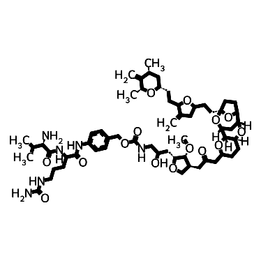 C=C1CC(CC[C@]23CCC(O2)[C@H]2C[C@@H](O3)[C@H]3OC(CC(=O)C[C@H]4CO[C@H](CC(O)CNC(=O)OCc5ccc(NC(=O)C(CCCNC(N)=O)NC(=O)[C@@H](N)C(C)C)cc5)[C@@H]4OC)CC[C@@H]3O2)OC1CC[C@H]1C[C@@H](C)C(=C)[C@@H](C)O1